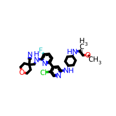 COC[C@@H](C)N[C@H]1CC[C@H](Nc2cc(-c3ccc(F)c(NCC4(C#N)CCOCC4)n3)c(Cl)cn2)CC1